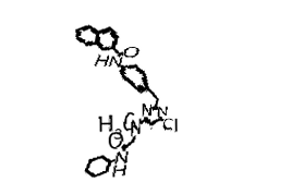 CN(CC(=O)NC1CCCCC1)c1[c]c(Cl)nc(Cc2ccc(NC(=O)c3ccc4ccccc4c3)cc2)n1